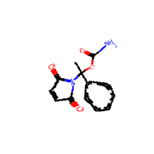 CC(OC(N)=O)(c1ccccc1)N1C(=O)C=CC1=O